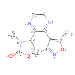 Cc1noc(C)c1-c1nccnc1C1COC(=O)N1C